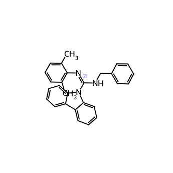 Cc1cccc(C)c1/N=C(/NCc1ccccc1)n1c2ccccc2c2ccccc21